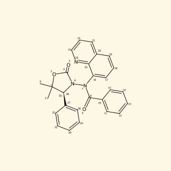 CC1(C)OC(=O)N(N(C(=O)c2ccccc2)c2cccc3cccnc23)[C@H]1c1ccccc1